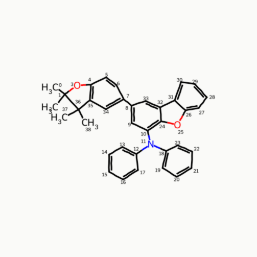 CC1(C)Oc2ccc(-c3cc(N(c4ccccc4)c4ccccc4)c4oc5ccccc5c4c3)cc2C1(C)C